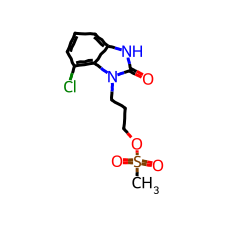 CS(=O)(=O)OCCCn1c(=O)[nH]c2cccc(Cl)c21